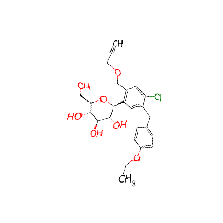 C#CCOCc1cc(Cl)c(Cc2ccc(OCC)cc2)cc1[C@@H]1O[C@H](CO)[C@@H](O)[C@H](O)[C@H]1O